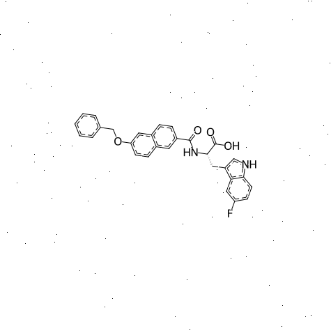 O=C(N[C@@H](Cc1c[nH]c2ccc(F)cc12)C(=O)O)c1ccc2cc(OCc3ccccc3)ccc2c1